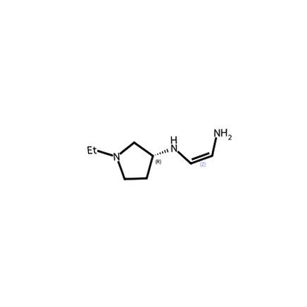 CCN1CC[C@@H](N/C=C\N)C1